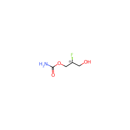 NC(=O)OC[C@@H](F)CO